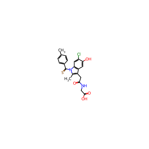 Cc1ccc(C(=S)n2c(C)c(CC(=O)NCC(=O)O)c3cc(O)c(Cl)cc32)cc1